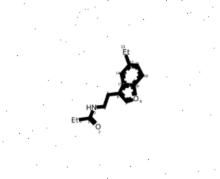 CCC(=O)NCCc1coc2ccc(CC)cc12